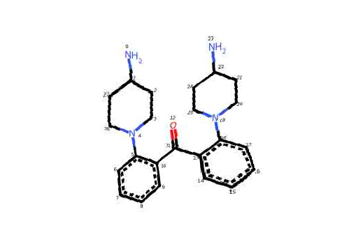 NC1CCN(c2ccccc2C(=O)c2ccccc2N2CCC(N)CC2)CC1